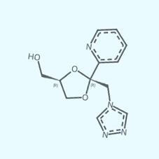 OC[C@@H]1CO[C@@](Cn2cnnc2)(c2ccccn2)O1